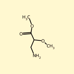 COC(=O)C(CN)OC